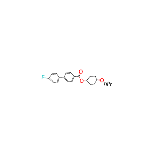 CCCO[C@H]1CC[C@H](OC(=O)c2ccc(-c3ccc(F)cc3)cc2)CC1